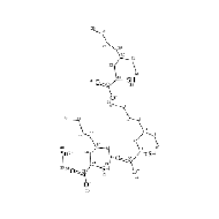 CCCCC(CC)CC(S)C(=O)[O-].CCCCC(CC)CC(S)C(=O)[O-].CCCCC(CC)CC(S)C(=O)[O-].[CH3][Sn+3]